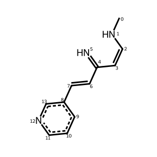 CN/C=C\C(=N)/C=C/c1cccnc1